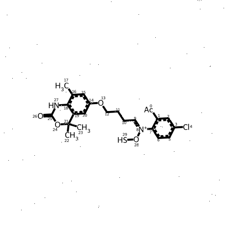 CC(=O)c1cc(Cl)ccc1[N+](=CCCCOc1cc(C)c2c(c1)C(C)(C)OC(=O)N2)OS